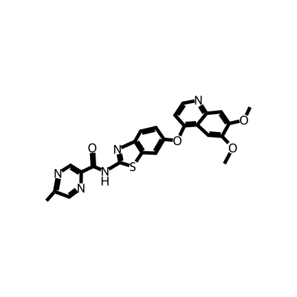 COc1cc2nccc(Oc3ccc4nc(NC(=O)c5cnc(C)cn5)sc4c3)c2cc1OC